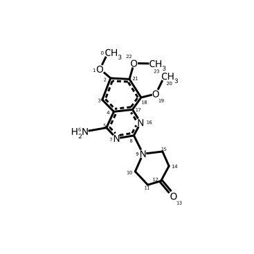 COc1cc2c(N)nc(N3CCC(=O)CC3)nc2c(OC)c1OC